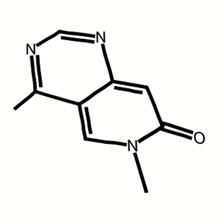 Cc1ncnc2cc(=O)n(C)cc12